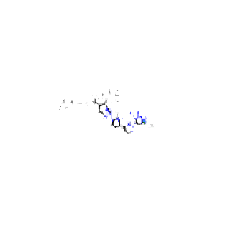 COC(OC)C1CCN(c2ccc([C@H]3CCCN(c4cc(Cl)nnc4N)C3)cc2)CC1